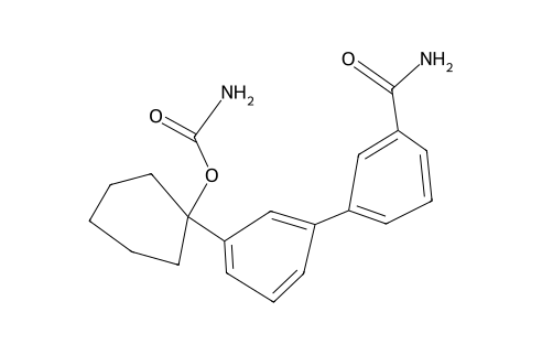 NC(=O)OC1(c2cccc(-c3cccc(C(N)=O)c3)c2)CCCCC1